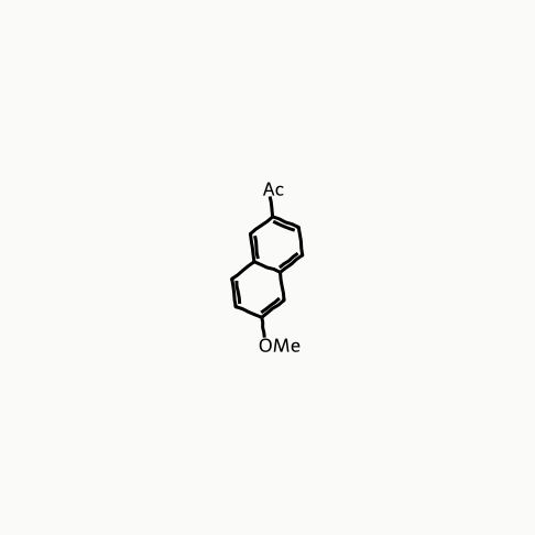 COc1ccc2cc(C(C)=O)ccc2c1